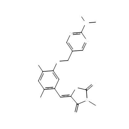 CN1C(=O)S/C(=C\c2cc(OCc3cnc([S+](C)[O-])nc3)c(O)cc2Br)C1=O